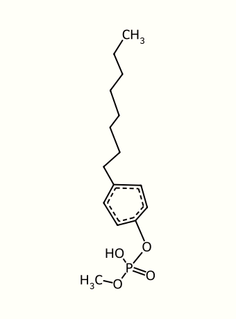 CCCCCCCCc1ccc(OP(=O)(O)OC)cc1